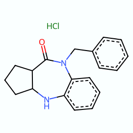 Cl.O=C1C2CCCC2Nc2ccccc2N1Cc1ccccc1